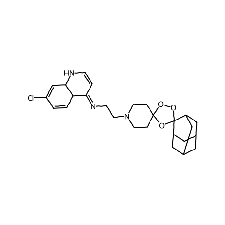 ClC1=CC2NC=C/C(=N\CCN3CCC4(CC3)OOC3(O4)C4CC5CC(C4)CC3C5)C2C=C1